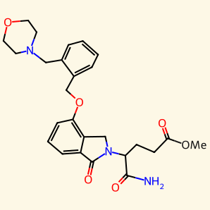 COC(=O)CCC(C(N)=O)N1Cc2c(OCc3ccccc3CN3CCOCC3)cccc2C1=O